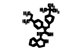 CCC(C)c1ccc(N(Cc2ccc(C(C)(C)C)cc2)C(=N)NC2NCCc3ccccc32)cc1